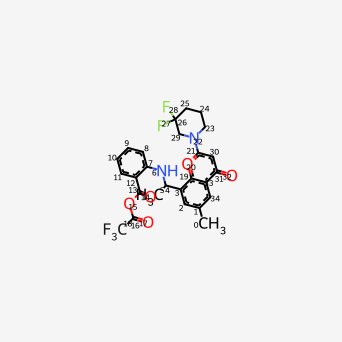 Cc1cc(C(C)Nc2ccccc2C(=O)OC(=O)C(F)(F)F)c2oc(N3CCCC(F)(F)C3)cc(=O)c2c1